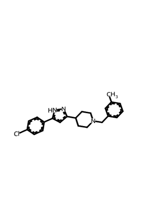 Cc1cccc(CN2CCC(c3cc(-c4ccc(Cl)cc4)[nH]n3)CC2)c1